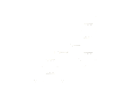 COc1ccc(NC(=O)NC(c2ccc(C(F)(F)F)cc2)c2ncccc2C(F)(F)F)cc1OC